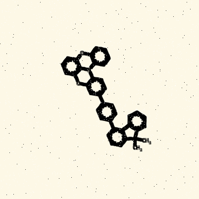 CC1(C)c2ccccc2-c2c(-c3ccc(-c4ccc5c(c4)Oc4cccc6c4N5c4ccccc4O6)cc3)cccc21